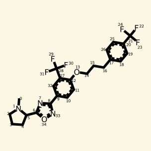 CN1CCCC1c1nc(-c2ccc(OCCCc3ccc(C(F)(F)F)cc3)c(C(F)(F)F)c2)no1